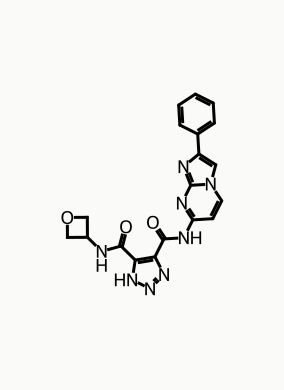 O=C(Nc1ccn2cc(-c3ccccc3)nc2n1)c1nn[nH]c1C(=O)NC1COC1